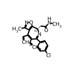 C=CC1=C(C=C)c2c(C)noc2[C@H](CC(=O)NC)N=C1c1ccc(Cl)cc1